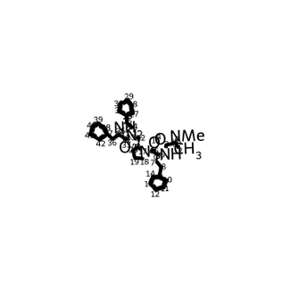 CN[C@@H](C)C(=O)N[C@@H](CCc1ccccc1)C(=O)N1CCC[C@H]1CN(CCc1ccccc1)C(=O)[C@H](N)Cc1ccccc1